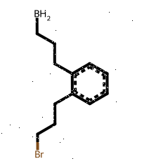 BCCCc1ccccc1CCCBr